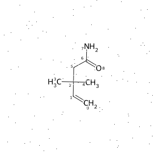 C=CC(C)(C)CC(N)=O